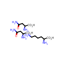 NC(=O)CC(N)C(=O)O.NC(=O)CC(N)C(=O)O.NCCCCC(N)C(=O)O